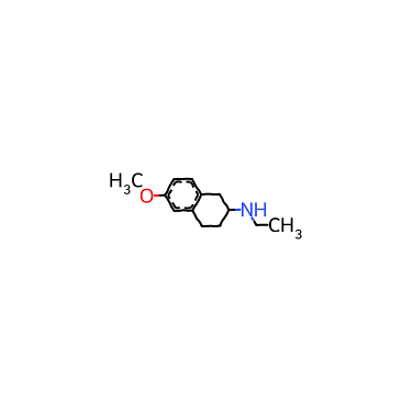 CCNC1CCc2cc(OC)ccc2C1